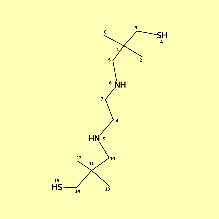 CC(C)(CS)CNCCNCC(C)(C)CS